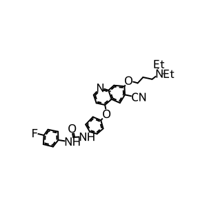 CCN(CC)CCCOc1cc2nccc(Oc3ccc(NC(=O)Nc4ccc(F)cc4)cc3)c2cc1C#N